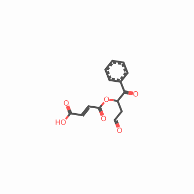 O=CCC(OC(=O)/C=C/C(=O)O)C(=O)c1ccccc1